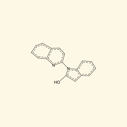 Oc1cc2ccccc2n1-c1ccc2ccccc2n1